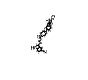 N#Cc1ccc2[nH]cc(CCCC(=O)N3CCN(c4ccc5oc(NC=O)cc5c4)CC3)c2c1